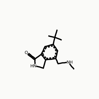 CNCc1cc(C(C)(C)C)cc2c1CNC2=O